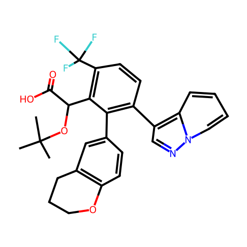 CC(C)(C)OC(C(=O)O)c1c(C(F)(F)F)ccc(-c2cnn3ccccc23)c1-c1ccc2c(c1)CCCO2